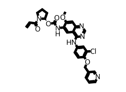 C=CC(=O)N1CCC[C@@H]1OC(=O)Nc1cc2c(Nc3ccc(OCc4cccnc4)c(Cl)c3)ncnc2cc1OC